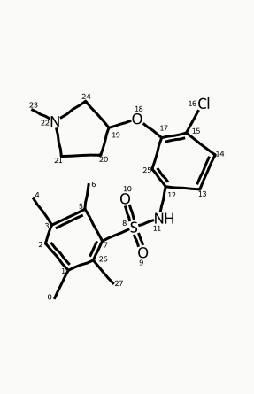 Cc1cc(C)c(C)c(S(=O)(=O)Nc2ccc(Cl)c(OC3CCN(C)C3)c2)c1C